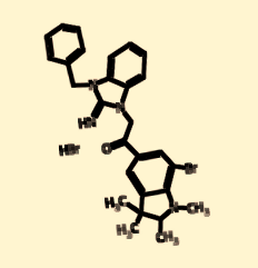 Br.CC1N(C)c2c(Br)cc(C(=O)Cn3c(=N)n(Cc4ccccc4)c4ccccc43)cc2C1(C)C